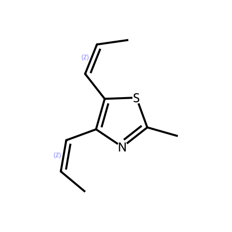 C/C=C\c1nc(C)sc1/C=C\C